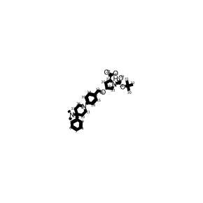 CN(C)C1(c2ccccc2)CCN(c2ccc(CO[C@H]3C[C@@H](C(=O)O)N(C(=O)OC(C)(C)C)C3)cc2)CC1